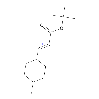 CC1CCC(/C=C/C(=O)OC(C)(C)C)CC1